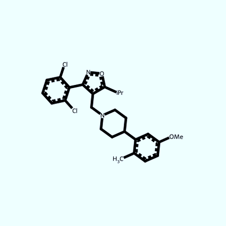 COc1ccc(C)c(C2CCN(Cc3c(-c4c(Cl)cccc4Cl)noc3C(C)C)CC2)c1